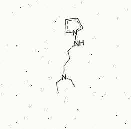 CCN(CC)CCCNn1cccc1